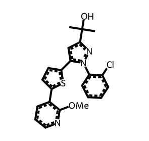 COc1ncccc1-c1ccc(-c2cc(C(C)(C)O)nn2-c2ccccc2Cl)s1